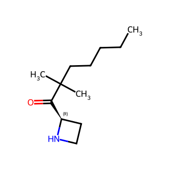 CCCCCC(C)(C)C(=O)[C@H]1CCN1